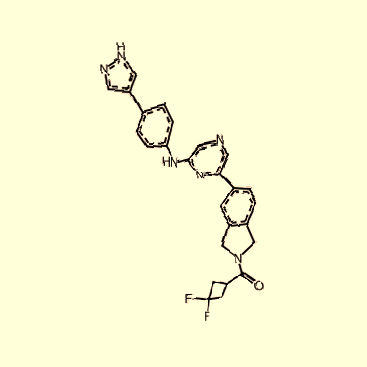 O=C(C1CC(F)(F)C1)N1Cc2ccc(-c3cncc(Nc4ccc(-c5cn[nH]c5)cc4)n3)cc2C1